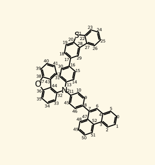 c1ccc2c(c1)cc(-c1ccc(N(c3ccc(-c4ccc5sc6ccccc6c5c4)cc3)c3cccc4oc5ccccc5c34)cc1)c1ccccc12